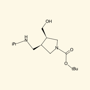 CC(C)NC[C@@H]1CN(C(=O)OC(C)(C)C)C[C@@H]1CO